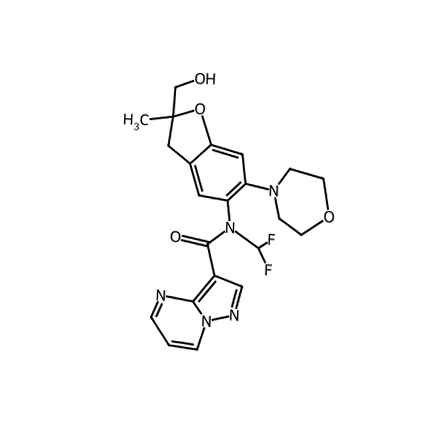 CC1(CO)Cc2cc(N(C(=O)c3cnn4cccnc34)C(F)F)c(N3CCOCC3)cc2O1